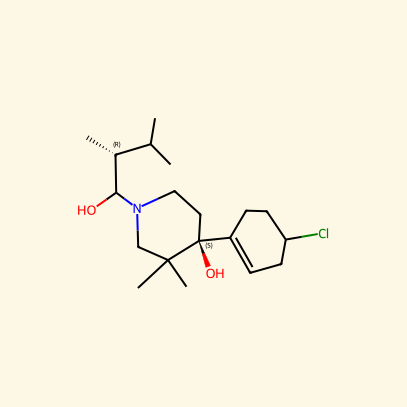 CC(C)[C@@H](C)C(O)N1CC[C@](O)(C2=CCC(Cl)CC2)C(C)(C)C1